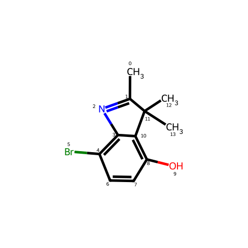 CC1=Nc2c(Br)ccc(O)c2C1(C)C